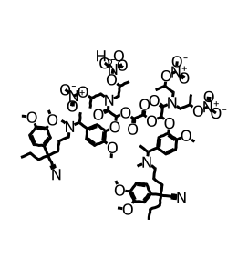 CCCC(C#N)(CCCN(C)C(C)c1ccc(OC)c(OC(OC(=O)C(=O)OC(Oc2cc(C(C)N(C)CCCC(C#N)(CCC)c3ccc(OC)c(OC)c3)ccc2OC)C(=O)N(CC(C)O[N+](=O)[O-])CC(C)O[N+](=O)[O-])C(=O)N(CC(C)O[N+](=O)[O-])CC(C)O[N+](=O)[O-])c1)c1ccc(OC)c(OC)c1.O